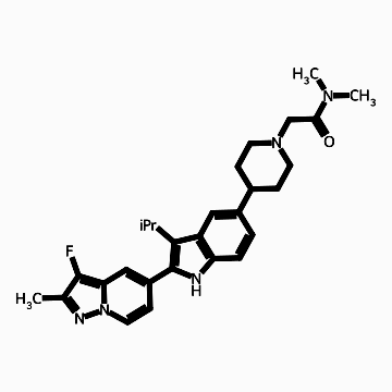 Cc1nn2ccc(-c3[nH]c4ccc(C5CCN(CC(=O)N(C)C)CC5)cc4c3C(C)C)cc2c1F